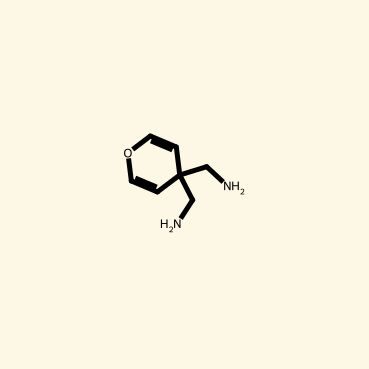 NCC1(CN)C=COC=C1